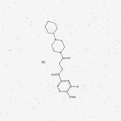 COc1ccc(C(=O)CCC(=O)N2CCN(C3CCCCC3)CC2)cc1F.Cl